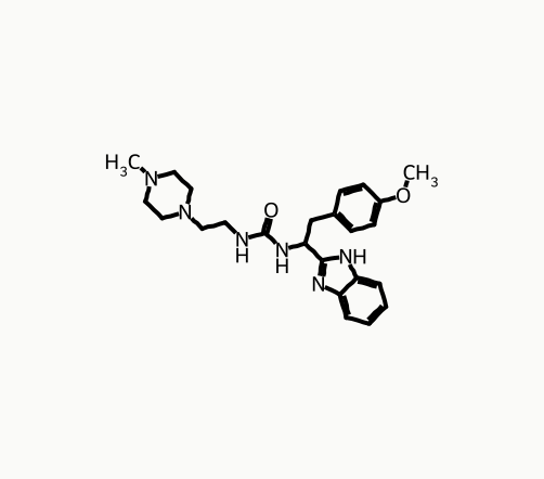 COc1ccc(CC(NC(=O)NCCN2CCN(C)CC2)c2nc3ccccc3[nH]2)cc1